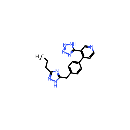 CCCc1n[nH]c(Cc2ccc(-c3ccncc3-c3nnn[nH]3)cc2)n1